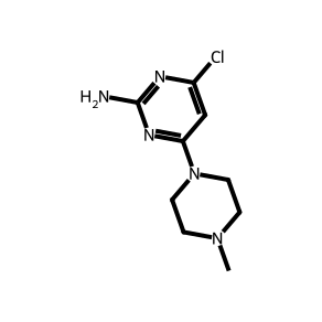 CN1CCN(c2cc(Cl)nc(N)n2)CC1